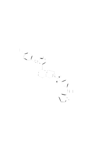 C[C@H](c1ccc(F)cc1)n1cncc1C1CCCC2CN(S(=O)(=O)c3ccc(Nc4ccccn4)s3)CCN21